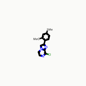 COc1cc(SC)ccc1-c1cn2ccnc(Cl)c2n1